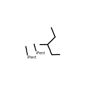 CCC(C)CC.CCCC(C)C.CCCC(C)C